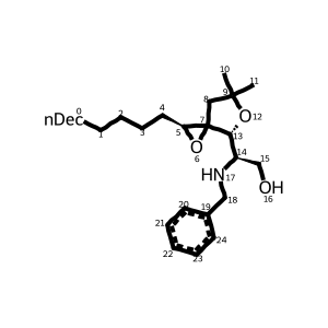 CCCCCCCCCCCCCC[C@@H]1OC12CC(C)(C)O[C@@H]2[C@@H](CO)NCc1ccccc1